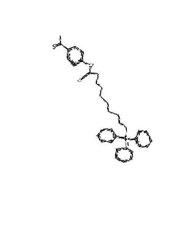 CC(=S)c1ccc(OC(=O)CCCCCCCCC[PH](c2ccccc2)(c2ccccc2)c2ccccc2)cc1